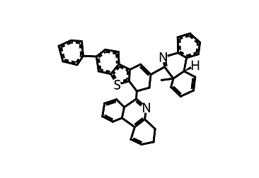 CC12C=CC=C[C@H]1c1ccccc1N=C2C1=Cc2c(sc3cc(-c4ccccc4)ccc23)C(C2=NC3=C(C=CCC3)C3C=CC=CC23)C1